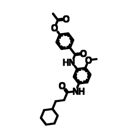 COc1ccc(NC(=O)CCC2CCCCC2)cc1NC(=O)c1ccc(OC(C)=O)cc1